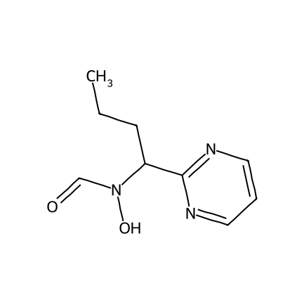 CCCC(c1ncccn1)N(O)C=O